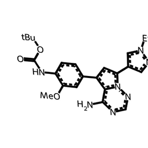 CCn1cc(-c2cc(-c3ccc(NC(=O)OC(C)(C)C)c(OC)c3)c3c(N)ncnn23)cn1